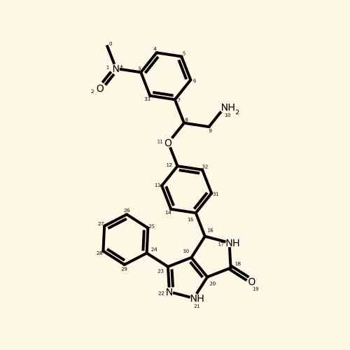 C[N+](=O)c1cccc(C(CN)Oc2ccc(C3NC(=O)c4[nH]nc(-c5ccccc5)c43)cc2)c1